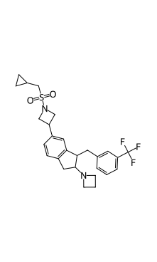 O=S(=O)(CC1CC1)N1CC(c2ccc3c(c2)C(Cc2cccc(C(F)(F)F)c2)C(N2CCC2)C3)C1